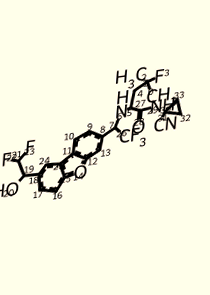 CC(C)(F)CC(NC(c1ccc2c(c1)oc1ccc(C(O)C(F)F)cc12)C(F)(F)F)C(=O)NC1(C#N)CC1